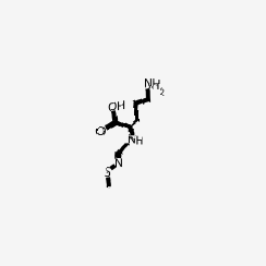 CSN=CN[C@H](CCCN)C(=O)O